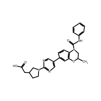 CC1CN(C(=O)Nc2ccccc2)c2ccc(-c3cnc(N4CCC(CC(=O)O)C4)nc3)cc2O1